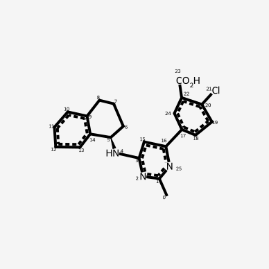 Cc1nc(N[C@@H]2CCCc3ccccc32)cc(-c2ccc(Cl)c(C(=O)O)c2)n1